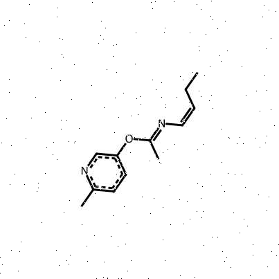 CC/C=C\N=C(/C)Oc1ccc(C)nc1